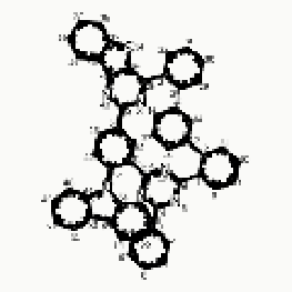 c1ccc(-c2nc(-c3ccccc3-c3ccccc3)nc(-c3cc(-c4nc(-c5ccccc5)c5sc6ccccc6c5n4)ccc3-n3c4ccccc4c4ccccc43)n2)cc1